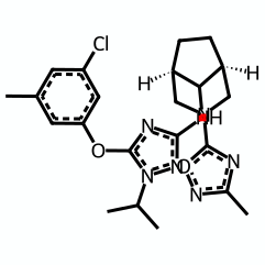 Cc1cc(Cl)cc(Oc2nc(NC3[C@@H]4CC[C@H]3CN(c3nc(C)no3)C4)nn2C(C)C)c1